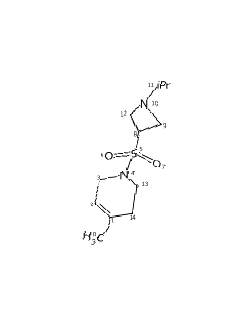 CC1=CCN(S(=O)(=O)C2CN(C(C)C)C2)CC1